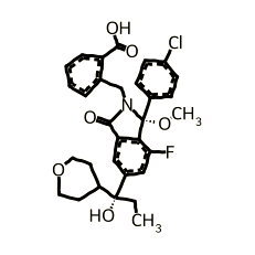 CC[C@](O)(c1cc(F)c2c(c1)C(=O)N(Cc1ccccc1C(=O)O)[C@@]2(OC)c1ccc(Cl)cc1)C1CCOCC1